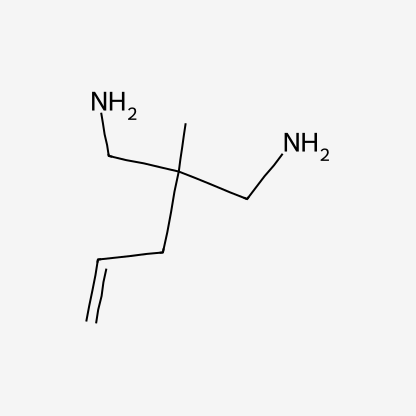 C=CCC(C)(CN)CN